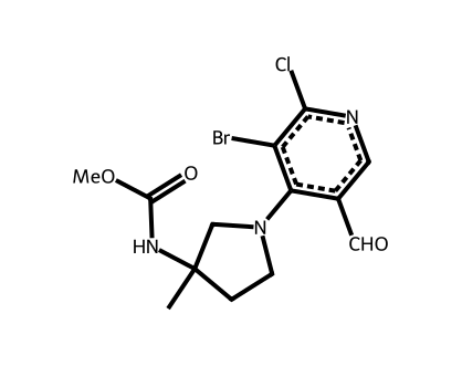 COC(=O)NC1(C)CCN(c2c(C=O)cnc(Cl)c2Br)C1